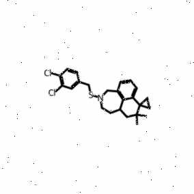 CC1(C)CC2CCN(SCc3ccc(Cl)c(Cl)c3)Cc3cccc(c32)C12CC2